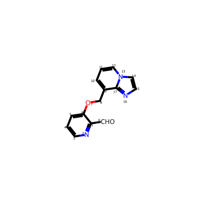 O=Cc1ncccc1OCc1cccn2ccnc12